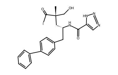 C[C@@](CO)(C[C@@H](Cc1ccc(-c2ccccc2)cc1)NC(=O)c1cnn[nH]1)C(=O)I